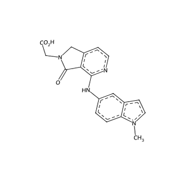 Cn1ccc2cc(Nc3nccc4c3C(=O)N(CC(=O)O)C4)ccc21